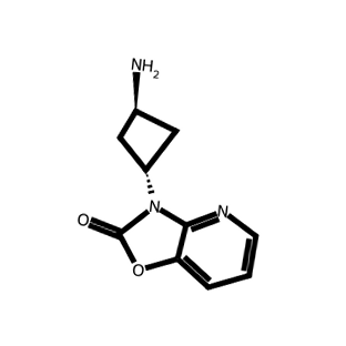 N[C@H]1C[C@H](n2c(=O)oc3cccnc32)C1